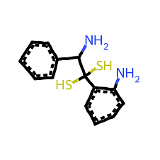 Nc1ccccc1C(S)(S)C(N)c1ccccc1